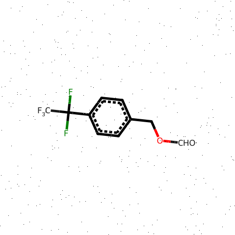 O=[C]OCc1ccc(C(F)(F)C(F)(F)F)cc1